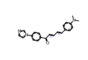 CN(C)c1ccc(/C=C/C=C/C(=O)c2ccc(-n3ccnc3)cc2)cc1